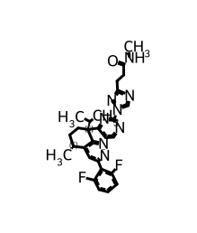 CNC(=O)CCc1ncn(-c2nccc([C@@]3(C(C)C)CC[C@H](C)c4cc(-c5c(F)cccc5F)nnc43)n2)n1